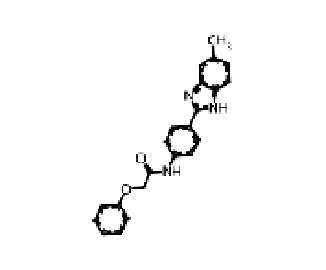 Cc1ccc2[nH]c(-c3ccc(NC(=O)COc4ccccc4)cc3)nc2c1